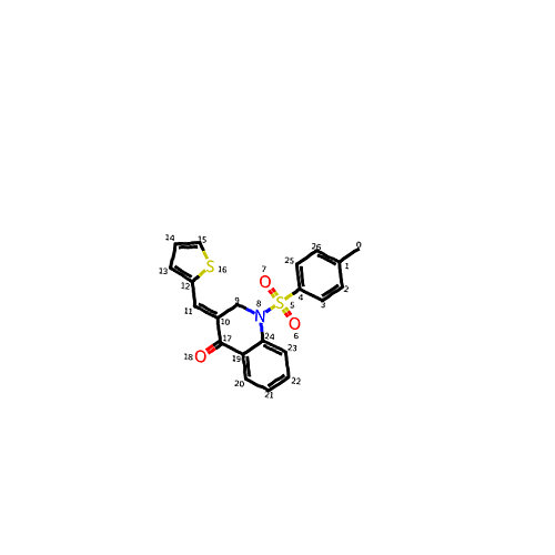 Cc1ccc(S(=O)(=O)N2C/C(=C\c3cccs3)C(=O)c3ccccc32)cc1